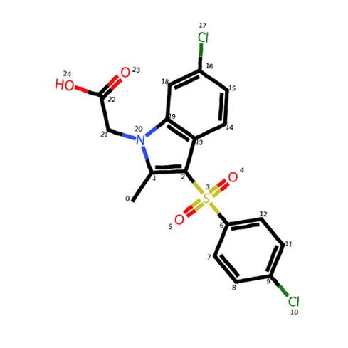 Cc1c(S(=O)(=O)c2ccc(Cl)cc2)c2ccc(Cl)cc2n1CC(=O)O